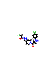 CC(C)(Nc1ccc(Cl)cc1)C(=O)N1CCC(CNC(=O)CCl)CC1